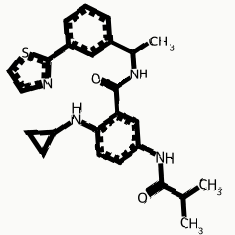 CC(C)C(=O)Nc1ccc(NC2CC2)c(C(=O)NC(C)c2cccc(-c3nccs3)c2)c1